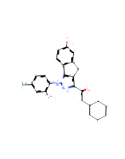 O=C(CC1CCCCC1)c1nn(-c2ccc(Cl)cc2Cl)c2c1Cc1cc(Br)ccc1-2